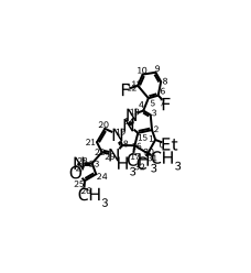 CCC1c2cc(-c3c(F)cccc3F)nnc2C(C)(c2nccc(-c3cc(C)on3)n2)C1(C)C